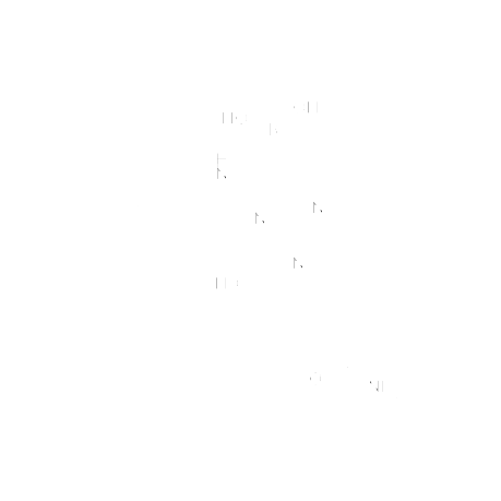 Cc1cc2c(C(N)=O)cccc2n1-c1ncc(B(O)O)c(NCc2ccccc2)n1